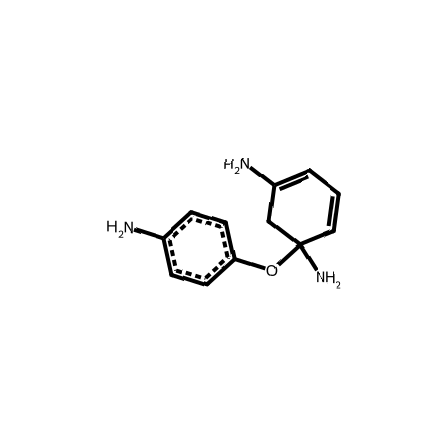 NC1=CC=CC(N)(Oc2ccc(N)cc2)C1